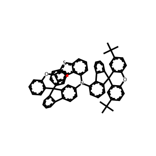 CC(C)(C)c1ccc2c(c1)C1(c3cc(C(C)(C)C)ccc3O2)c2ccccc2-c2c(N(c3ccc4c(c3)C3(c5ccccc5Oc5ccccc53)c3ccccc3-4)c3cccc4sc5ccccc5c34)cccc21